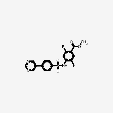 COC(=O)c1cc(F)c(NS(=O)(=O)c2ccc(-c3cncnc3)cc2)cc1F